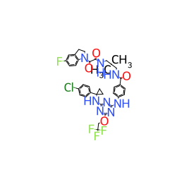 CC(C)(CNC(=O)C(=O)N1CCc2cc(F)ccc21)CNC(=O)c1ccc(Nc2nc(NC3(c4ccc(Cl)cc4)CC3)nc(OCC(F)(F)F)n2)cc1